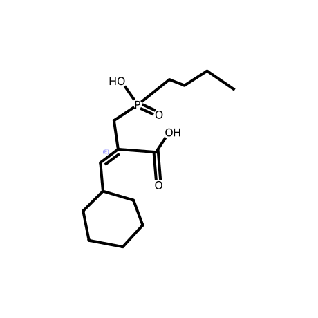 CCCCP(=O)(O)C/C(=C/C1CCCCC1)C(=O)O